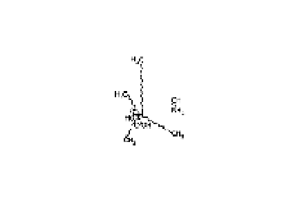 CCCCCCCCCCCCCCCCCCN(CCCCCCCCCCCC)[C@](CCCCCCCC)(C(=O)O)C(CCCCCCCC)CC(=O)O.NCCO